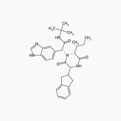 CC[C@@H](C)[C@@H]1C(=O)NC(C2Cc3ccccc3C2)C(=O)N1[C@@H](C(=O)NC(C)(C)C)c1ccc2[nH]cnc2c1